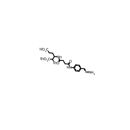 CCOC(=O)C(CC)C(CCC(=O)O)NC(=O)CCC(=O)Nc1ccc(C=NN)cc1